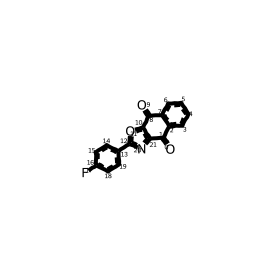 O=C1c2ccccc2C(=O)c2oc(-c3ccc(F)cc3)nc21